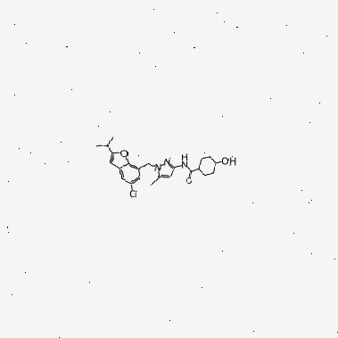 Cc1cc(NC(=O)C2CCC(O)CC2)nn1Cc1cc(Cl)cc2cc(C(C)C)oc12